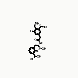 NCc1cc(CC(=O)N[C@H]2Cc3cccc(C(O)O)c3OB2O)cc(F)c1CN